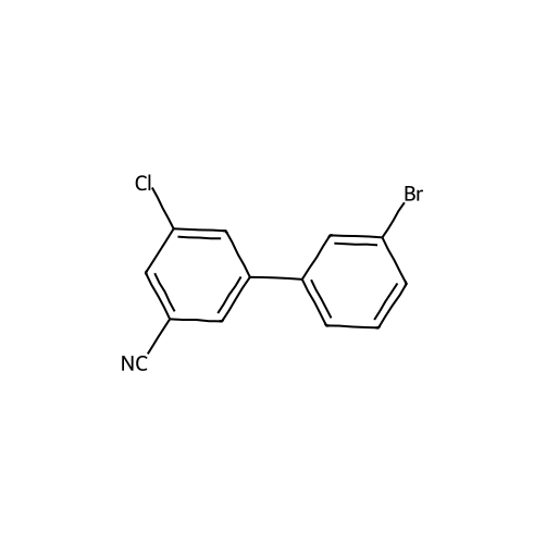 N#Cc1cc(Cl)cc(-c2cccc(Br)c2)c1